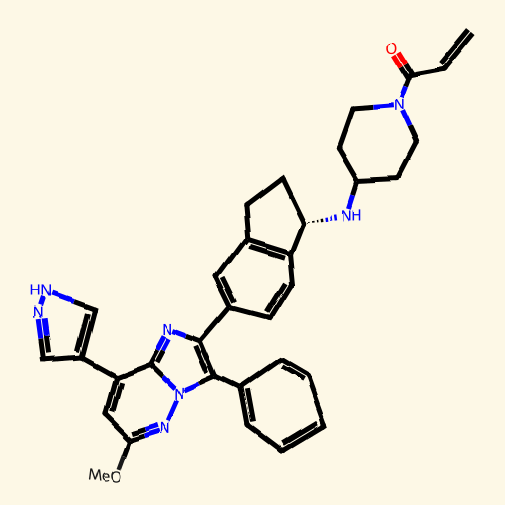 C=CC(=O)N1CCC(N[C@H]2CCc3cc(-c4nc5c(-c6cn[nH]c6)cc(OC)nn5c4-c4ccccc4)ccc32)CC1